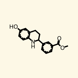 COC(=O)c1cccc(C2CCc3cc(O)ccc3N2)c1